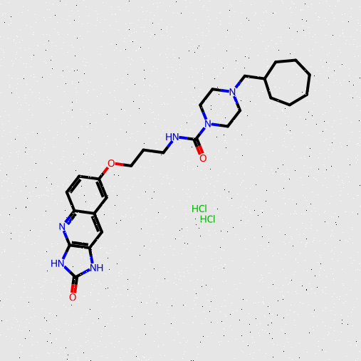 Cl.Cl.O=C(NCCCOc1ccc2nc3[nH]c(=O)[nH]c3cc2c1)N1CCN(CC2CCCCCC2)CC1